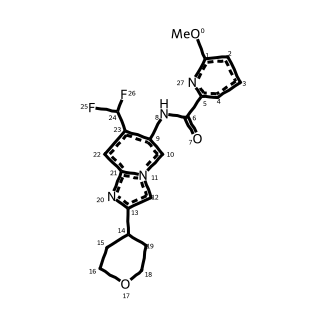 COc1cccc(C(=O)Nc2cn3cc(C4CCOCC4)nc3cc2C(F)F)n1